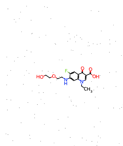 CCn1cc(C(=O)O)c(=O)c2cc(F)c(NCCOCCO)cc21